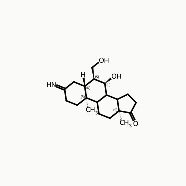 C[C@]12CCC3C(C1CCC2=O)[C@H](O)[C@H](CO)[C@H]1CC(=N)CC[C@]31C